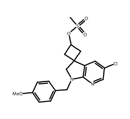 COc1ccc(CN2CC3(CC(OS(C)(=O)=O)C3)c3cc(Cl)cnc32)cc1